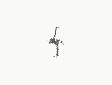 CCCCCCCCCCCCSCc1cc(Cc2cc(CSCCCCCCCCCCCC)cc(C(C)(C)C)c2O)c(O)c(C(C)(C)C)c1